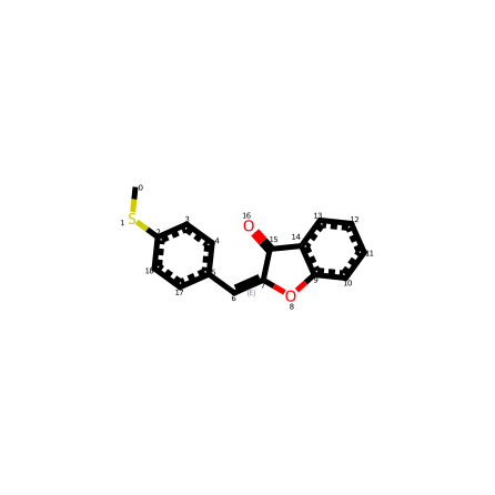 CSc1ccc(/C=C2/Oc3ccccc3C2=O)cc1